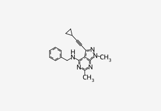 Cc1nc(NCc2ccccc2)c2c(C#CC3CC3)nn(C)c2n1